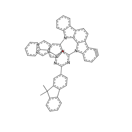 CC1(C)c2ccccc2-c2ccc(-c3nc(-c4ccccc4)nc(-n4c5ccc#cc5c5ccc6c7ccccc7n(-c7cccc(-c8ccccc8)c7)c6c54)n3)cc21